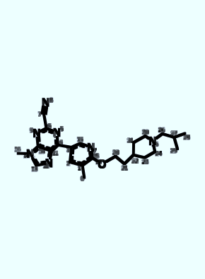 Cc1cc(-c2nc(C#N)nc3c2ncn3C)cnc1OCCC1CCN(CC(C)C)CC1